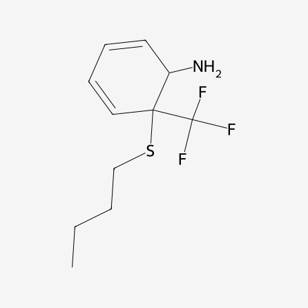 CCCCSC1(C(F)(F)F)C=CC=CC1N